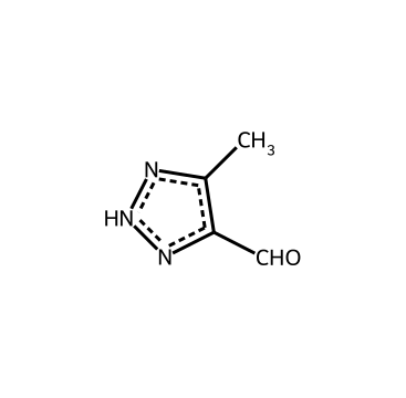 Cc1n[nH]nc1C=O